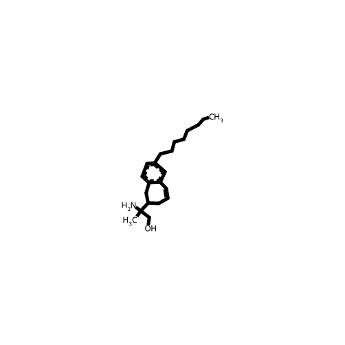 CCCCCCCCc1ccc2c(c1)C=CCC(C(C)(N)CO)C2